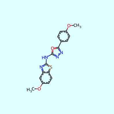 COc1ccc(-c2nnc(Nc3nc4cc(OC)ccc4s3)o2)cc1